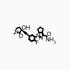 CN1CCC(O)(C#Cc2ccc(F)c(-n3nc(C(N)=O)c4c3CCC4)c2)C1=O